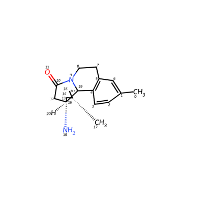 Cc1ccc2c(c1)CCN1C(=O)C[C@H]3[C@H](N)[C@@H](C)C[C@]231